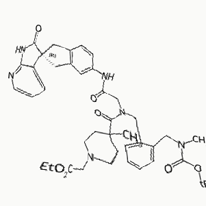 CCOC(=O)CN1CCC(C)(C(=O)N(CC(=O)Nc2ccc3c(c2)C[C@@]2(C3)C(=O)Nc3ncccc32)Cc2ccccc2CN(C)C(=O)OC(C)(C)C)CC1